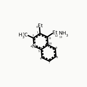 CCc1c(C)nc2ccccc2c1CC.N